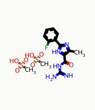 CS(=O)(=O)O.CS(=O)(=O)O.Cc1nc(-c2ccccc2F)[nH]c1C(=O)NC(=N)N